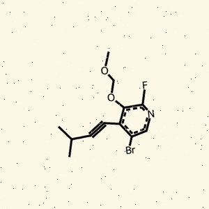 COCOc1c(F)ncc(Br)c1C#CC(C)C